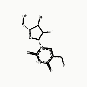 O=c1[nH]c(=O)n([C@@H]2O[C@H](CO)[C@@H](O)C2F)cc1CF